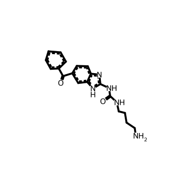 NCCCCNC(=O)Nc1nc2ccc(C(=O)c3ccccc3)cc2[nH]1